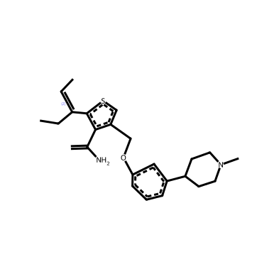 C=C(N)c1c(COc2cccc(C3CCN(C)CC3)c2)csc1/C(=C\C)CC